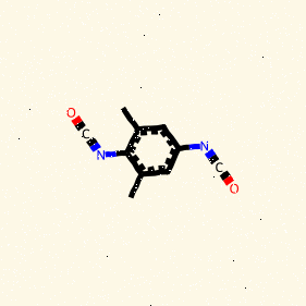 Cc1cc(N=C=O)cc(C)c1N=C=O